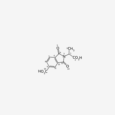 CC(C(=O)O)N1C(=O)c2ccc(C(=O)O)cc2C1=O